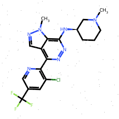 CN1CCC[C@@H](Nc2nnc(-c3ncc(C(F)(F)F)cc3Cl)c3cnn(C)c23)C1